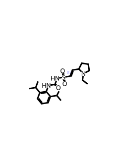 CCN1CCCC1/C=C/S(=O)(=O)NC(=O)Nc1c(C(C)C)cccc1C(C)C